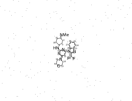 CN[C@H]1CC[C@H](Nc2nc(N3CCOCC3)cc(-n3c(C(F)F)nc4ccccc43)n2)CC1